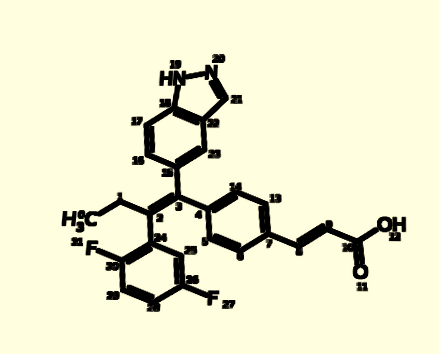 CC/C(=C(/c1ccc(/C=C/C(=O)O)cc1)c1ccc2[nH]ncc2c1)c1cc(F)ccc1F